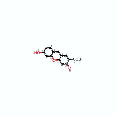 O=C(O)c1cc2cc3ccc(O)cc3oc-2cc1=O